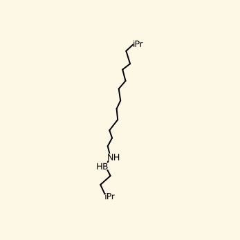 CC(C)CCBNCCCCCCCCCCCC(C)C